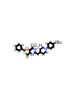 CC(C)(C)c1ccc(N2CCC(Cc3nc(C(=O)O)c(OCc4ccccc4)c(C(F)F)n3)CC2)cc1